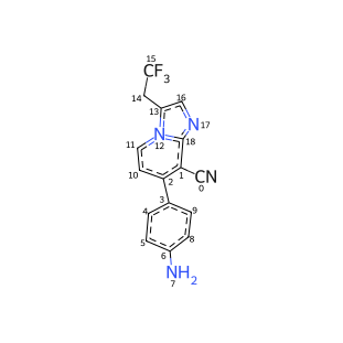 N#Cc1c(-c2ccc(N)cc2)ccn2c(CC(F)(F)F)cnc12